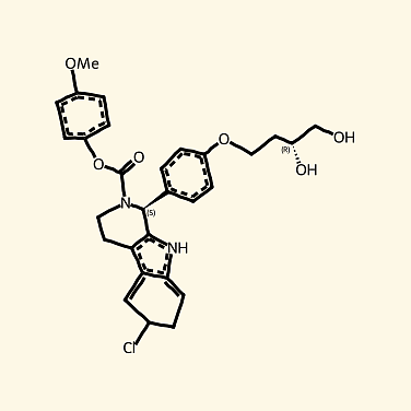 COc1ccc(OC(=O)N2CCc3c([nH]c4c3=CC(Cl)CC=4)[C@@H]2c2ccc(OCC[C@@H](O)CO)cc2)cc1